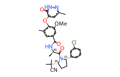 COc1cc(C(=O)N[C@H](C)C(=O)N2[C@H](c3cccc(Cl)c3)CC[C@@H]2C(C)(C)C#N)cc(C)c1Oc1cc(C)n[nH]c1=O